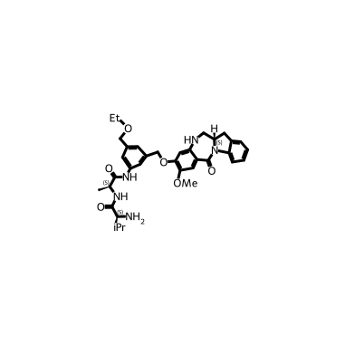 CCOCc1cc(COc2cc3c(cc2OC)C(=O)N2c4ccccc4C[C@H]2CN3)cc(NC(=O)[C@H](C)NC(=O)[C@@H](N)C(C)C)c1